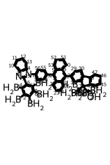 Bc1c(B)c(B)c(-c2nc3ccccc3n2-c2ccc(-c3c4ccccc4c(-c4ccc5c(c4)C(C(B)(B)B)(C(B)(B)O)c4ccccc4-5)c4ccccc34)cc2)c(B)c1B